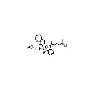 CCNCCC[C@H](C)Nc1ccccc1S(=O)(=O)Nc1ccc2c(c1C(=O)O)CCCCC2